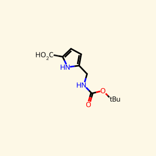 CC(C)(C)OC(=O)NCc1ccc(C(=O)O)[nH]1